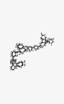 c1ccc(-n2c3ccccc3c3cc(-c4ccc(-c5ccc(-c6ccc(-c7cccc(-c8cnc9c%10ccccc%10c%10ccccc%10c9n8)c7)c7ccccc67)cc5)cc4)ccc32)cc1